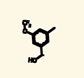 Cc1cc([CH]O)cc(OC(F)(F)F)c1